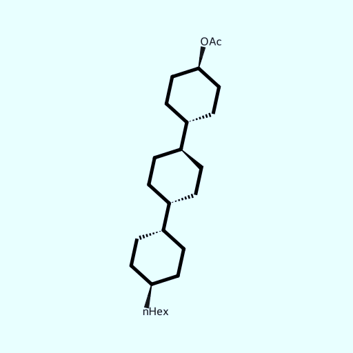 CCCCCC[C@H]1CC[C@H]([C@H]2CC[C@H]([C@H]3CC[C@H](OC(C)=O)CC3)CC2)CC1